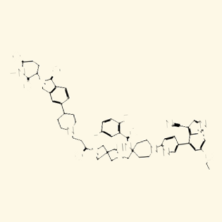 CCOc1cc(-c2ccc(N3CCC(CN4CC5(C4)CN(C(=O)CCN4CCC(c6ccc7c(c6)CN(C6CCC(=O)NC6=O)C7=O)CC4)C5)(NC(=O)c4cc(F)ccc4F)CC3)nc2)c2c(C#N)cnn2c1